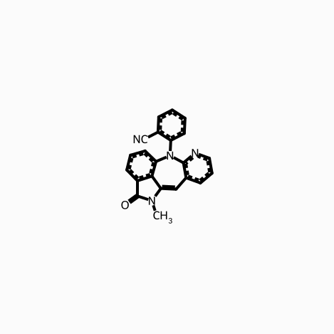 CN1C(=O)c2cccc3c2C1=Cc1cccnc1N3c1ccccc1C#N